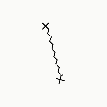 CC(C)(C)CCOCCOCCCOCCNC(C)(C)C